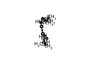 CCC[C@H](NC(=O)OC)C(=O)N1CCC[C@H]1c1nc2cc(C#Cc3ccc(-c4c[nH]c([C@@H]5CCCN5C(=O)[C@@H](NC(=O)OC)C(C)C)n4)cc3)ccc2[nH]1